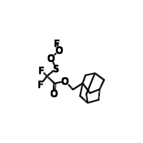 O=C(OCC12CC3CC(CC(C3)C1)C2)C(F)(F)SOOF